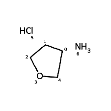 C1CCOC1.Cl.N